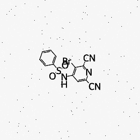 N#Cc1cc(NS(=O)(=O)c2ccccc2)c(Br)c(C#N)n1